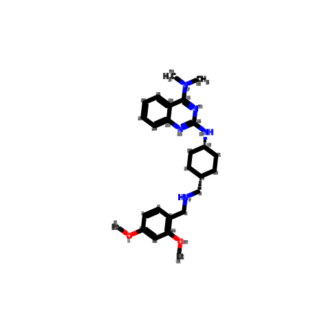 CCOc1ccc(CNC[C@H]2CC[C@@H](Nc3nc(N(C)C)c4ccccc4n3)CC2)c(OCC)c1